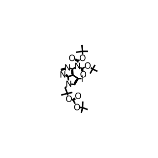 CC(C)(C)OC(=O)OC(C)(C)Cn1cc(I)c2c(N(C(=O)OC(C)(C)C)C(=O)OC(C)(C)C)ncnc21